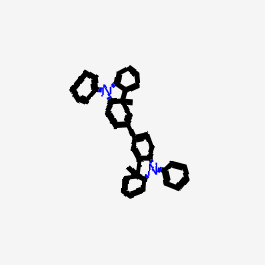 CC12C=CC=CC1N(c1ccccc1)C1CC=C(C3=CC4(C)c5ccccc5N(c5ccccc5)C4C=C3)C=C12